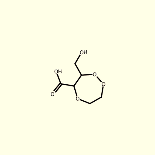 O=C(O)C1OCCOOC1CO